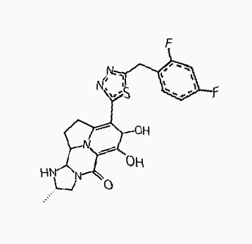 C[C@H]1CN2C(=O)C3=C(O)C(O)C(c4nnc(Cc5ccc(F)cc5F)s4)=C4CCC(C2N1)N43